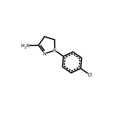 NC1=NN(c2ccc(Cl)cc2)CC1